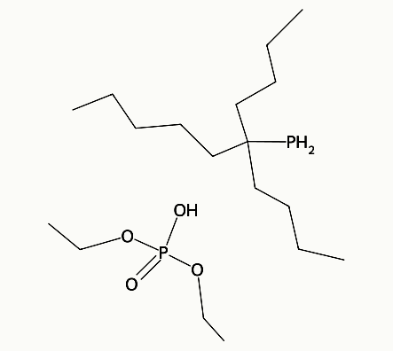 CCCCCC(P)(CCCC)CCCC.CCOP(=O)(O)OCC